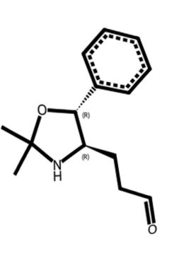 CC1(C)N[C@H](CCC=O)[C@@H](c2ccccc2)O1